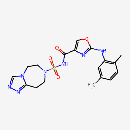 Cc1ccc(C(F)(F)F)cc1Nc1nc(C(=O)NS(=O)(=O)N2CCc3nncn3CC2)co1